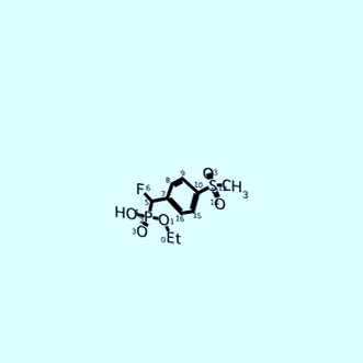 CCOP(=O)(O)C(F)c1ccc(S(C)(=O)=O)cc1